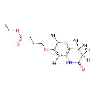 [2H]c1cc2c(c([2H])c1OCCCC(=O)OCC)NC(=O)C([2H])([2H])C2([2H])[2H]